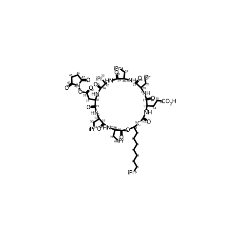 CC(C)CCCCCCCC1CC(=O)NC(CCC(=O)O)C(=O)NC(CC(C)C)C(=O)NC(CC(C)C)C(=O)NC(C(C)C)C(=O)NC(CC(=O)ON2C(=O)CCC2=O)C(=O)NC(CC(C)C)C(=O)NC(CC(C)C)C(=O)O1